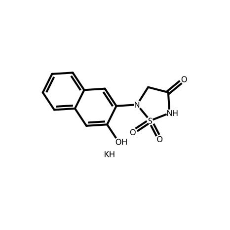 O=C1CN(c2cc3ccccc3cc2O)S(=O)(=O)N1.[KH]